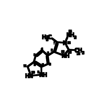 CC1=C(c2ccc3c(c2)NNC3)NC(C)N1N